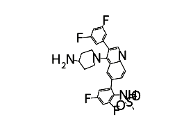 CS(=O)(=O)Nc1c(F)cc(F)cc1-c1ccc2ncc(-c3cc(F)cc(F)c3)c(N3CCC(N)CC3)c2c1